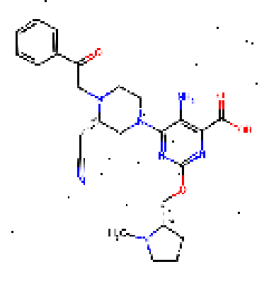 CN1CCC[C@H]1COc1nc(C(=O)O)c(N)c(N2CCN(CC(=O)c3ccccc3)[C@@H](CC#N)C2)n1